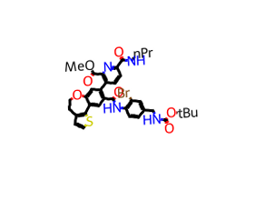 CCCNC(=O)c1ccc(-c2cc3c(cc2C(=O)Nc2ccc(CNC(=O)OC(C)(C)C)cc2Br)-c2sccc2CCO3)c(C(=O)OC)n1